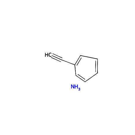 C#Cc1ccccc1.N